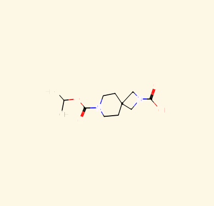 CC(C)OC(=O)N1CCC2(CC1)CN(C(=O)O)C2